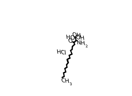 CCCCCCCCC=CCCCCCCCC(=O)C(N)C(O)(O)O.Cl